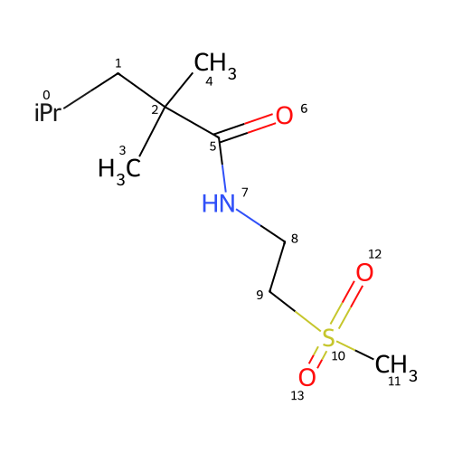 CC(C)CC(C)(C)C(=O)NCCS(C)(=O)=O